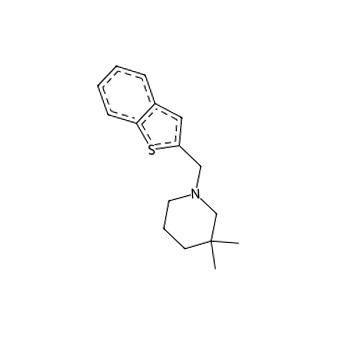 CC1(C)CCCN(Cc2cc3ccccc3s2)C1